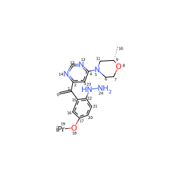 C=C(c1cc(N2CCO[C@@H](C)C2)ncn1)c1cc(OC(C)C)ccc1NN